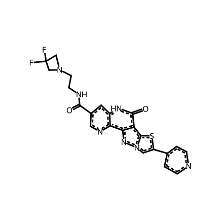 O=C(NCCN1CC(F)(F)C1)c1cnc2c(c1)[nH]c(=O)c1c2nn2cc(-c3ccncc3)sc12